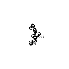 O=C1CCCCN1C1CCN(Cc2coc3cc(Oc4nc5ncccc5s4)ccc23)CC1.O=CO